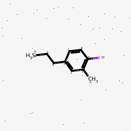 Cc1cc(CC[SiH3])ccc1I